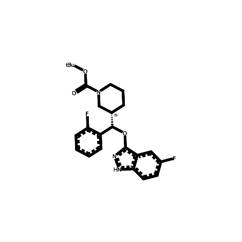 CC(C)(C)OC(=O)N1CCC[C@H](C(Oc2n[nH]c3ccc(F)cc23)c2ccccc2F)C1